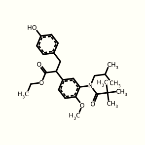 CCOC(=O)C(Cc1ccc(O)cc1)c1ccc(OC)c(N(CC(C)C)C(=O)C(C)(C)C)c1